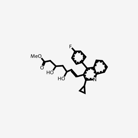 COC(=O)CC(O)CC(O)C=Cc1c(C2CC2)nc2ccccc2c1-c1ccc(F)cc1